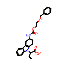 CCC(C(=O)O)n1c2c(c3ccccc31)CC(NC(=O)OCCOCc1ccccc1)CC2